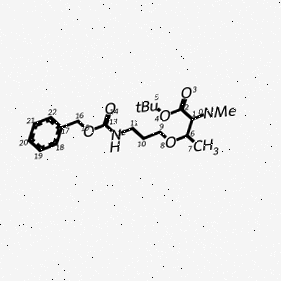 CNC(C(=O)OC(C)(C)C)C(C)OCCCNC(=O)OCc1ccccc1